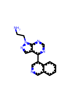 NCCn1ncc2c(-c3cncc4ccccc34)ncnc21